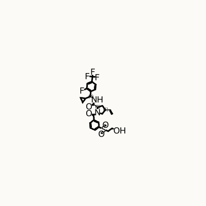 C=C[C@@H]1C[C@H](C(=O)N[C@@H](c2ccc(C(F)(F)F)cc2F)C2CC2)N(C(=O)c2cccc(S(=O)(=O)CCO)c2)C1